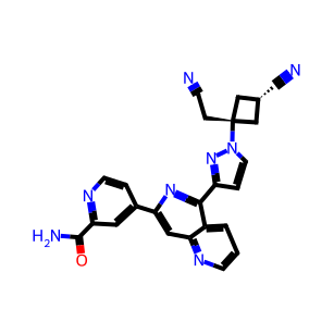 N#CC[C@]1(n2ccc(-c3nc(-c4ccnc(C(N)=O)c4)cc4ncccc34)n2)C[C@@H](C#N)C1